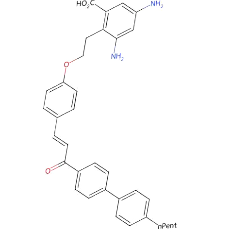 CCCCCc1ccc(-c2ccc(C(=O)/C=C/c3ccc(OCCc4c(N)cc(N)cc4C(=O)O)cc3)cc2)cc1